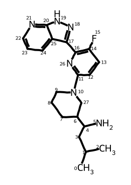 CC(C)CC(N)C1CCCN(c2ccc(F)c(-c3n[nH]c4ncccc34)n2)C1